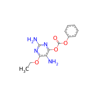 CCOc1nc(N)nc(OC(=O)Oc2ccccc2)c1N